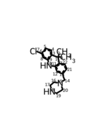 CC1(C)c2ccc(Cl)cc2Nc2cc(CN3CCNCC3)ccc21